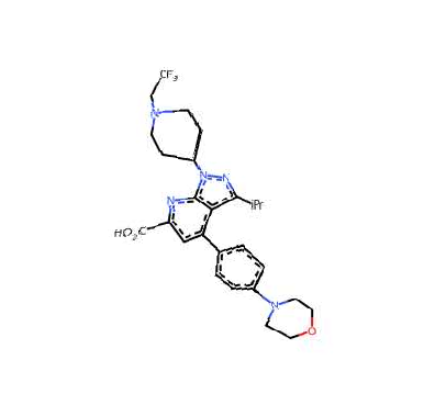 CC(C)c1nn(C2CCN(CC(F)(F)F)CC2)c2nc(C(=O)O)cc(-c3ccc(N4CCOCC4)cc3)c12